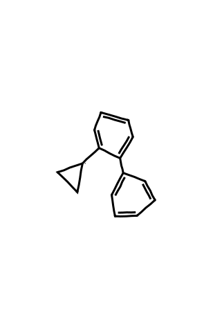 c1ccc(-c2ccccc2[C]2CC2)cc1